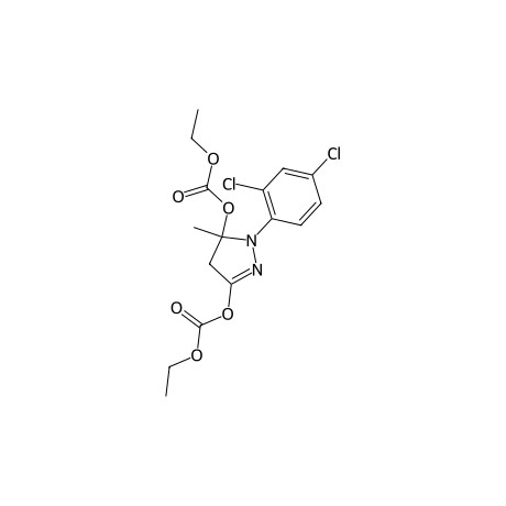 CCOC(=O)OC1=NN(c2ccc(Cl)cc2Cl)C(C)(OC(=O)OCC)C1